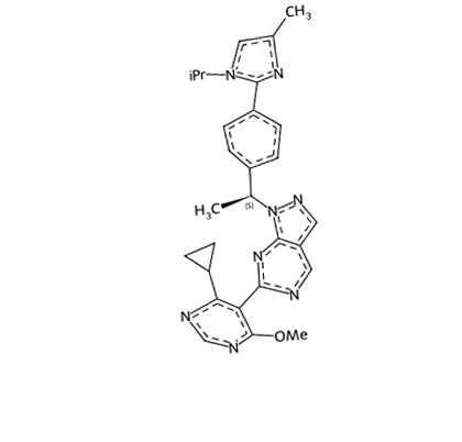 COc1ncnc(C2CC2)c1-c1ncc2cnn([C@@H](C)c3ccc(-c4nc(C)cn4C(C)C)cc3)c2n1